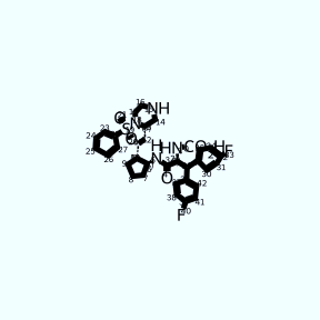 O=C(O)N[C@H](C(=O)N[C@H]1CCC[C@@H]1CC[C@H]1CNCCN1S(=O)(=O)c1ccccc1)C(c1ccc(F)cc1)c1ccc(F)cc1